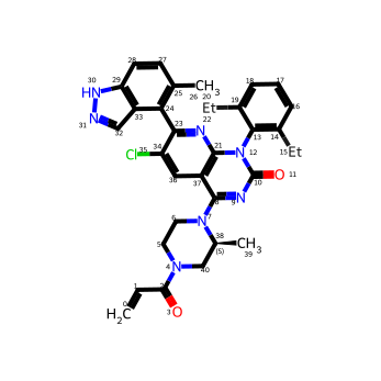 C=CC(=O)N1CCN(c2nc(=O)n(-c3c(CC)cccc3CC)c3nc(-c4c(C)ccc5[nH]ncc45)c(Cl)cc23)[C@@H](C)C1